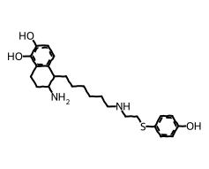 NC1CCc2c(ccc(O)c2O)C1CCCCCCNCCSc1ccc(O)cc1